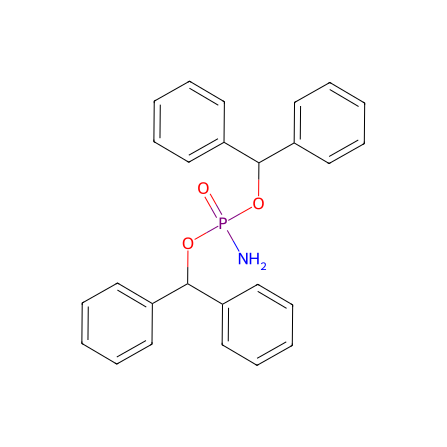 NP(=O)(OC(c1ccccc1)c1ccccc1)OC(c1ccccc1)c1ccccc1